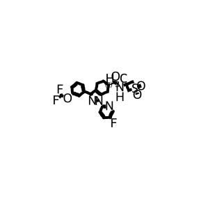 CC1(NC(=O)[C@@H]2CCc3c(-c4cccc(OC(F)F)c4)nn(-c4ccc(F)cn4)c3C2)CS(=O)(=O)C1